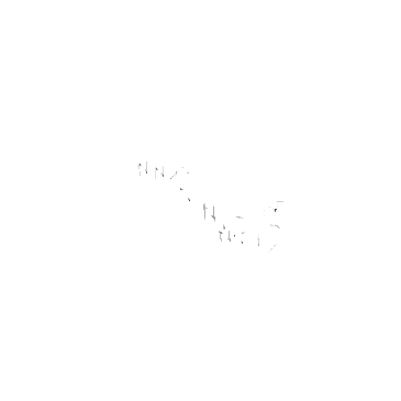 CCOc1ccccc1-c1ccc(N2CCN(CC(=O)N3CCN(C4CCC4)CC3)CC2)nn1